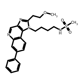 COCCc1nc2cnc3cc(-c4ccccc4)ccc3c2n1CCCCNS(C)(=O)=O